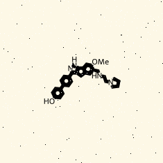 COc1cc2c(cc1CNCCN1CCCC1)Cc1c(-c3ccc(-c4ccc(O)cc4)cc3)n[nH]c1-2